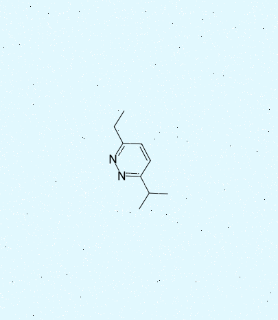 CCc1ccc(C(C)C)nn1